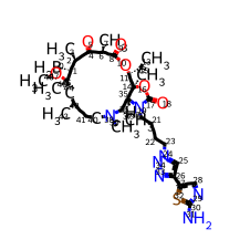 B[C@@H]1[C@@H](C)C(=O)[C@@H](C)C(=O)O[C@H](CC)[C@@]2(C)OC(=O)N(CCCCn3cc(-c4cnc(N)s4)nn3)[C@@H]2[C@H](C)N(C)CC[C@@H](C)C[C@@]1(C)OC